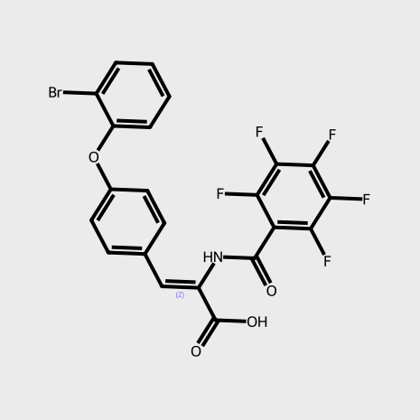 O=C(O)/C(=C/c1ccc(Oc2ccccc2Br)cc1)NC(=O)c1c(F)c(F)c(F)c(F)c1F